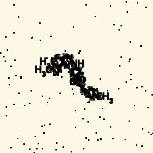 Cc1ncc(-c2nc(Nc3ccc(S(=O)(=O)CC=CN4CCN(C)CC4)cc3)ncc2F)n1C